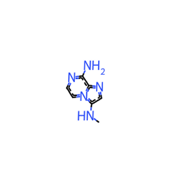 CNc1cnc2c(N)nccn12